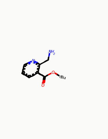 CC(C)(C)OC(=O)c1cccnc1CN